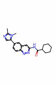 Cc1ncc(-c2ccc3nnc(NC(=O)C4CCCCC4)cc3c2)n1C